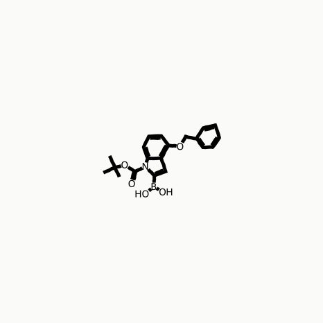 CC(C)(C)OC(=O)n1c(B(O)O)cc2c(OCc3ccccc3)cccc21